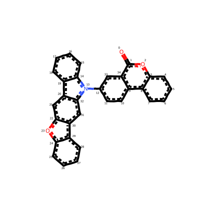 O=c1oc2ccccc2c2ccc(-n3c4ccccc4c4cc5oc6ccccc6c5cc43)cc12